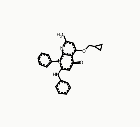 Cc1cc(OCC2CC2)c2c(=O)cc(Nc3ccccc3)n(-c3ccccc3)c2n1